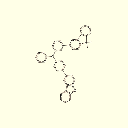 CC1(C)c2ccccc2-c2cc(-c3cccc(N(c4ccccc4)c4ccc(-c5ccc6oc7ccccc7c6c5)cc4)c3)ccc21